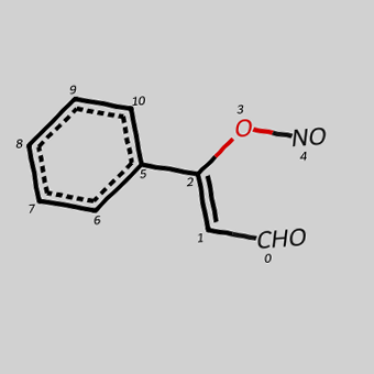 O=CC=C(ON=O)c1ccccc1